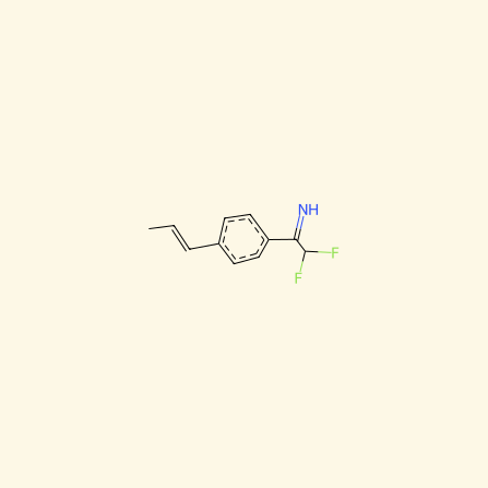 C/C=C/c1ccc(C(=N)C(F)F)cc1